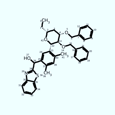 CC[C@@H]1C[C@H](OCc2ccccc2)[C@@H](OCc2ccccc2)[C@H](c2cc(C(O)c3nc4ccccc4s3)c(C)cc2C)O1